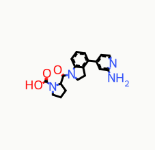 Nc1cc(-c2cccc3c2CCN3C(=O)C2CCCN2C(=O)O)ccn1